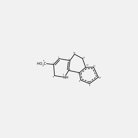 O=C(O)C1=CC2=C(NC1)c1ccccc1CC2